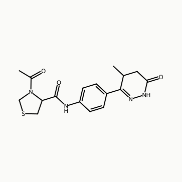 CC(=O)N1CSCC1C(=O)Nc1ccc(C2=NNC(=O)CC2C)cc1